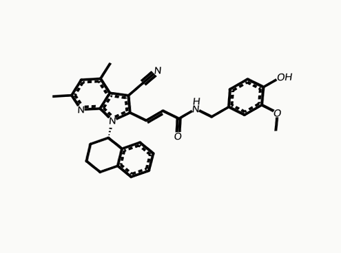 COc1cc(CNC(=O)C=Cc2c(C#N)c3c(C)cc(C)nc3n2[C@H]2CCCc3ccccc32)ccc1O